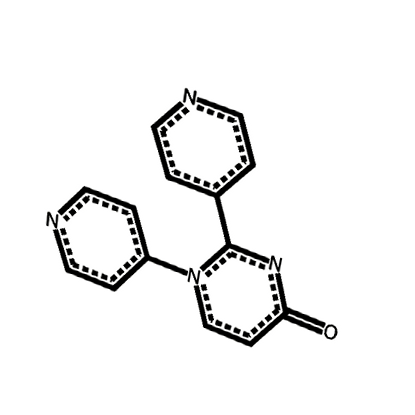 O=c1ccn(-c2ccncc2)c(-c2ccncc2)n1